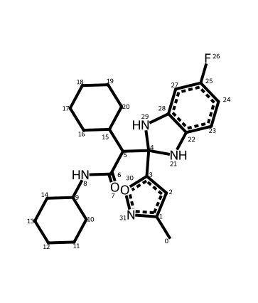 Cc1cc(C2(C(C(=O)NC3CCCCC3)C3CCCCC3)Nc3ccc(F)cc3N2)on1